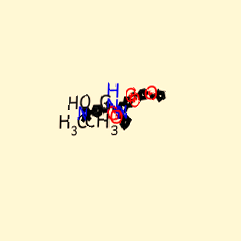 Cc1nccc(-c2ccc(CC(NC(=O)[C@@H]3Cc4cc5c(cc4CN3C(=O)c3ccccc3)O[C@@H](c3ccc(OCC4CCCC4)cc3)CO5)C(=O)O)cc2)c1C